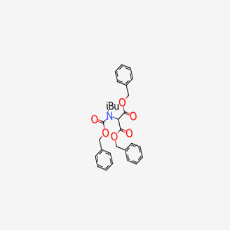 CCC(C)N(C(=O)OCc1ccccc1)C(C(=O)OCc1ccccc1)C(=O)OCc1ccccc1